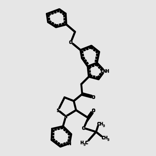 CC(C)(C)OC(=O)C1C(C(=O)Cc2c[nH]c3ccc(OCc4ccccc4)cc23)CSN1c1cccnc1